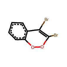 BrC1=C(Br)c2ccccc2OO1